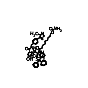 Cc1ncsc1-c1ccc(CNC(=O)[C@@H]2C[C@@H](O)CN2C(=O)[C@@H](NC(=O)CCCCCCCCOC(N)=O)C(C)(C)SC(c2ccccc2)(c2ccccc2)c2ccccc2)cc1